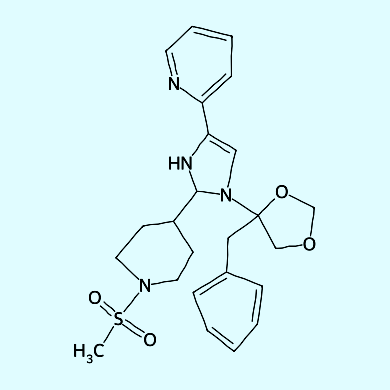 CS(=O)(=O)N1CCC(C2NC(c3ccccn3)=CN2C2(Cc3ccccc3)COCO2)CC1